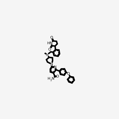 CN(Cc1ccccc1C1CCC(=O)NC1=O)C1CCN(c2ccc(C(N)=O)c(-c3ccc(Oc4ccccc4)cc3)n2)CC1